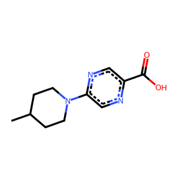 CC1CCN(c2cnc(C(=O)O)cn2)CC1